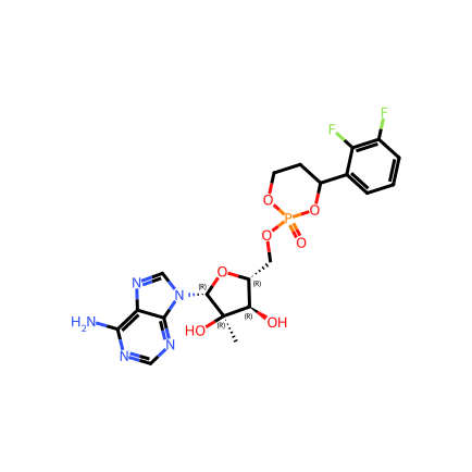 C[C@@]1(O)[C@H](O)[C@@H](COP2(=O)OCCC(c3cccc(F)c3F)O2)O[C@H]1n1cnc2c(N)ncnc21